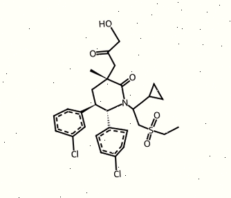 CCS(=O)(=O)CC(C1CC1)N1C(=O)[C@@](C)(CC(=O)CO)C[C@H](c2cccc(Cl)c2)[C@H]1c1ccc(Cl)cc1